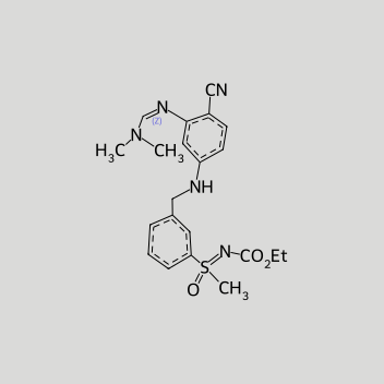 CCOC(=O)N=S(C)(=O)c1cccc(CNc2ccc(C#N)c(/N=C\N(C)C)c2)c1